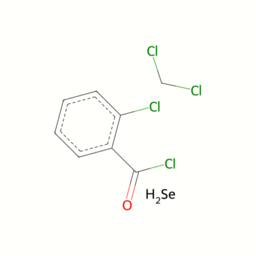 ClCCl.O=C(Cl)c1ccccc1Cl.[SeH2]